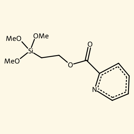 CO[Si](CCOC(=O)c1ccccn1)(OC)OC